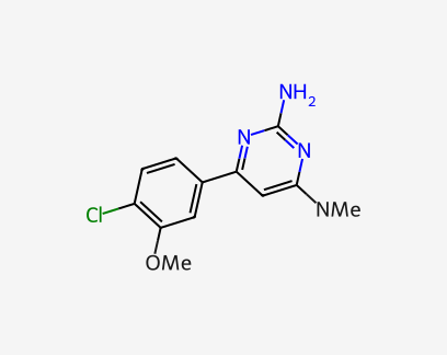 CNc1cc(-c2ccc(Cl)c(OC)c2)nc(N)n1